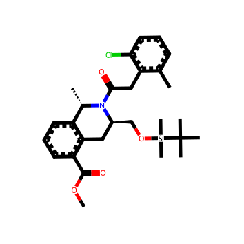 COC(=O)c1cccc2c1C[C@H](CO[Si](C)(C)C(C)(C)C)N(C(=O)Cc1c(C)cccc1Cl)[C@H]2C